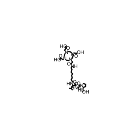 CC(C)[C@H](NC(=O)CCCCCCCNC(=O)CN1CCN(CC(=O)O)CCN(CC(=O)O)CCN(CC(=O)O)CC1)C(=O)N[C@H](C)C(=O)N1CCC[C@H]1BO